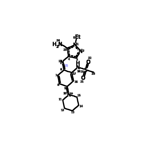 CCn1ncc(/N=C2/C=CC(=[N+]3CCCCC3)C=C2NS(C)(=O)=O)c1N